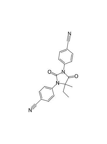 CCC1(C)C(=O)N(c2ccc(C#N)cc2)C(=O)N1c1ccc(C#N)cc1